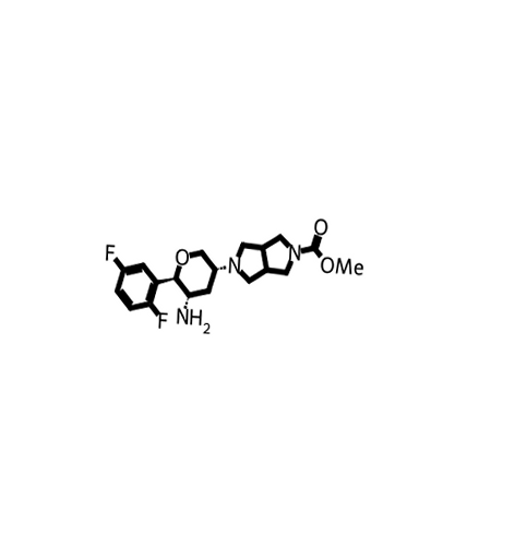 COC(=O)N1CC2CN([C@H]3CO[C@H](c4cc(F)ccc4F)[C@@H](N)C3)CC2C1